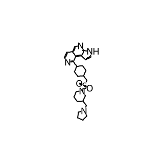 O=S(=O)(CC1CCC(c2nccc3cnc4[nH]ccc4c23)CC1)N1CCCC(CN2CCCC2)C1